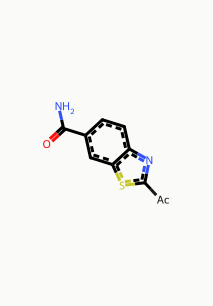 CC(=O)c1nc2ccc(C(N)=O)cc2s1